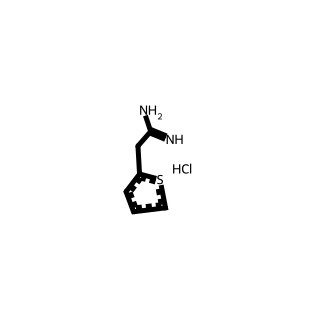 Cl.N=C(N)Cc1cccs1